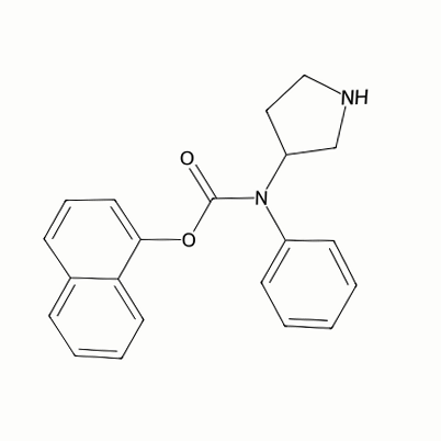 O=C(Oc1cccc2ccccc12)N(c1ccccc1)C1CCNC1